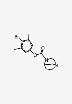 Cc1cc(OC(=O)N2CCN3CCC2CC3)cc(C)c1Br